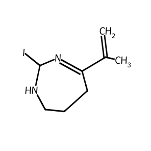 C=C(C)C1=NC(I)NCCC1